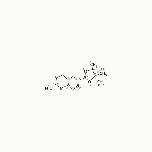 C[C@@H]1CCc2cc(B3OC(C)(C)C(C)(C)O3)ccc2C1